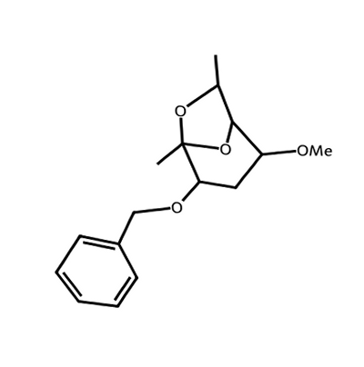 COC1CC(OCc2ccccc2)C2(C)OC(C)C1O2